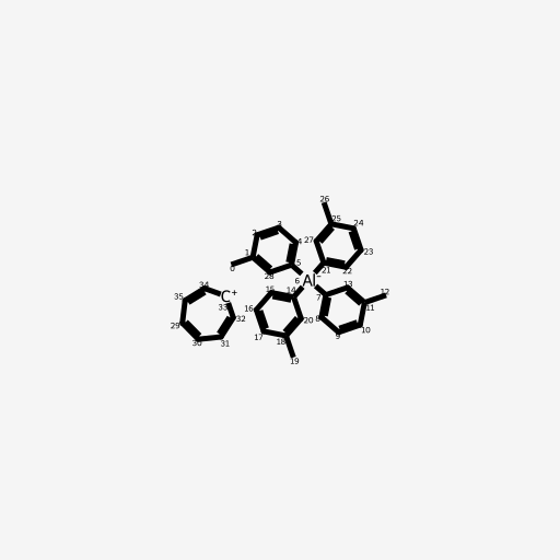 Cc1ccc[c]([Al-]([c]2cccc(C)c2)([c]2cccc(C)c2)[c]2cccc(C)c2)c1.c1ccc[cH+]cc1